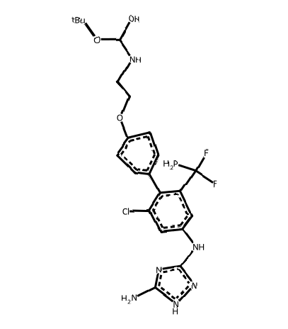 CC(C)(C)OC(O)NCCOc1ccc(-c2c(Cl)cc(Nc3n[nH]c(N)n3)cc2C(F)(F)P)cc1